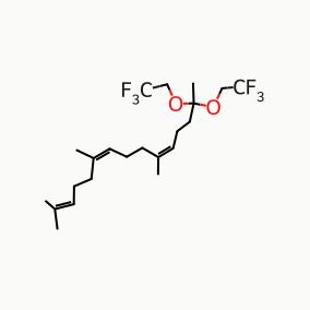 CC(C)=CCC/C(C)=C\CC/C(C)=C\CCC(C)(OCC(F)(F)F)OCC(F)(F)F